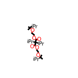 CC(C)C(C)(C)OCCOC(=O)C(C(=O)OCCOC(C)(C)C(C)C)(C(C)C)C(C)C